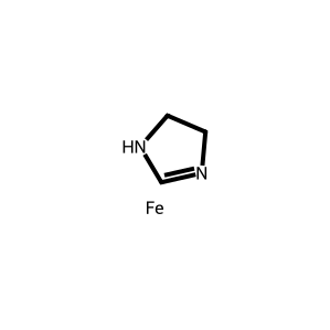 C1=NCCN1.[Fe]